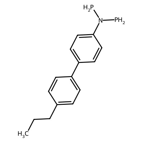 CCCc1ccc(-c2ccc(N(P)P)cc2)cc1